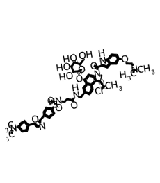 C[C@@H](Cl)[C@@H]1CN(C(=O)c2cc3cc(OCCN(C)C)ccc3[nH]2)c2cc(O[C@@H]3OC(CO)[C@H](O)C(O)C3O)c3cc(CNC(=O)CCNS(=O)(=O)c4ccc(-c5ncc(-c6ccc(N(C)C)cc6)o5)cc4)ccc3c21